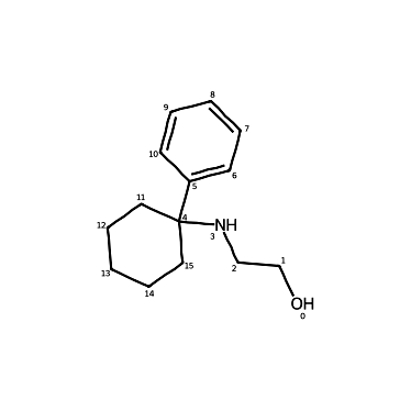 OCCNC1(c2ccccc2)CCCCC1